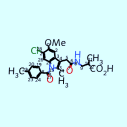 COc1cc2c(CC(=O)NCC(C)C(=O)O)c(C)n(C(=O)c3ccc(C)cc3)c2cc1Cl